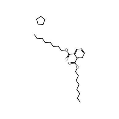 C1CCCC1.CCCCCCCCOC(=O)c1ccccc1C(=O)OCCCCCCCC